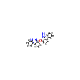 Nc1c(Oc2cccc(-c3ccccc3)c2N)cccc1-c1ccccc1